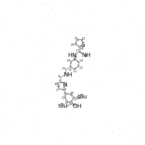 CC(C)(C)c1cc(-c2csc(CNCc3cccc(NC(=N)c4cccs4)c3)n2)cc(C(C)(C)C)c1O